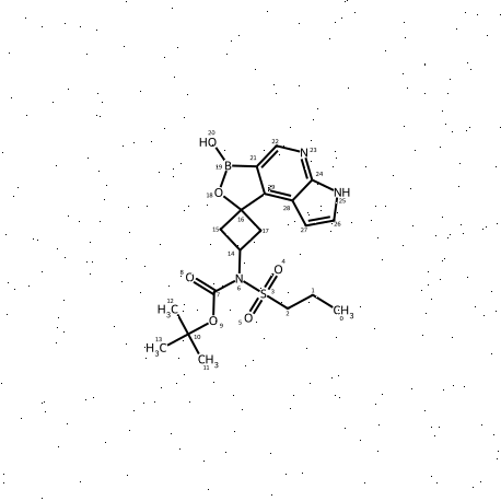 CCCS(=O)(=O)N(C(=O)OC(C)(C)C)C1CC2(C1)OB(O)c1cnc3[nH]ccc3c12